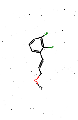 [CH2]COCC=Cc1cccc(F)c1F